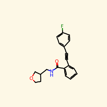 O=C(NCC1CCOC1)c1ccccc1C#Cc1ccc(F)cc1